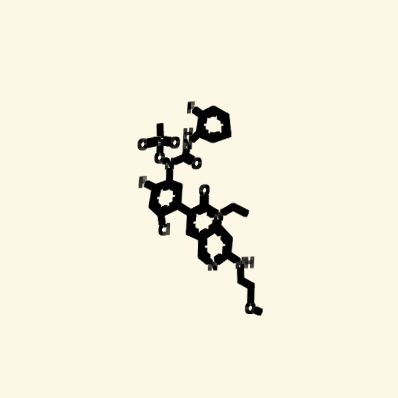 CCn1c(=O)c(-c2cc(N(OS(C)(=O)=O)C(=O)Nc3ccccc3F)c(F)cc2Cl)cc2cnc(NCCOC)cc21